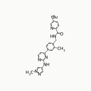 Cc1cc(-c2ccnc(Nc3cnn(C)c3)n2)ccc1CNC(=O)c1ccc(C(C)(C)C)cn1